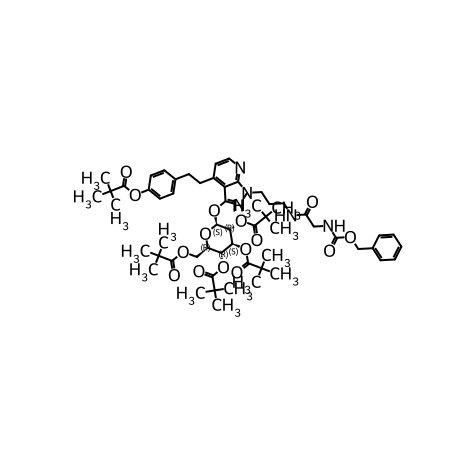 CC(C)(C)C(=O)OC[C@H]1O[C@@H](Oc2nn(CCCNC(=O)CNC(=O)OCc3ccccc3)c3nccc(CCc4ccc(OC(=O)C(C)(C)C)cc4)c23)[C@H](OC(=O)C(C)(C)C)[C@@H](OC(=O)C(C)(C)C)[C@@H]1OC(=O)C(C)(C)C